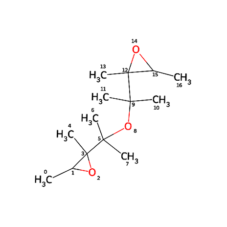 CC1OC1(C)C(C)(C)OC(C)(C)C1(C)OC1C